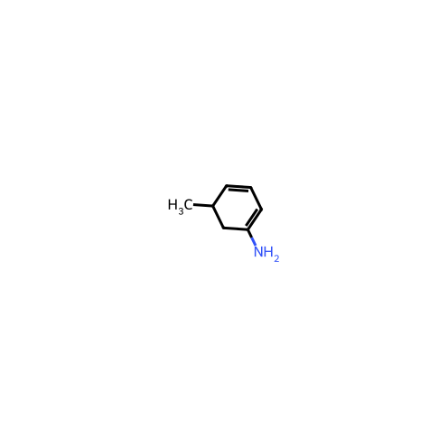 CC1C=CC=C(N)C1